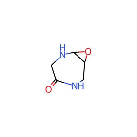 O=C1CNC2OC2CN1